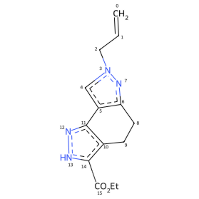 C=CCn1cc2c(n1)CCc1c-2n[nH]c1C(=O)OCC